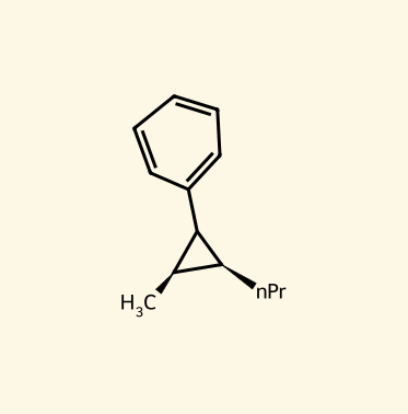 CCC[C@@H]1C(c2ccccc2)[C@@H]1C